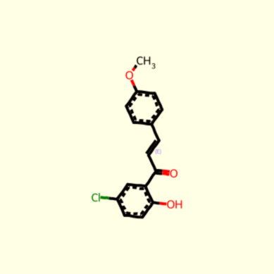 COc1ccc(/C=C/C(=O)c2cc(Cl)ccc2O)cc1